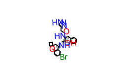 O=C(Cc1c[nH]nn1)N[C@@H](Cc1ccccc1)[C@@H](O)CN[C@H]1CC2(CCC2)Oc2ccc(Br)cc21